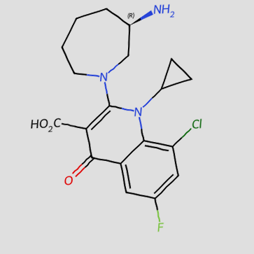 N[C@@H]1CCCCN(c2c(C(=O)O)c(=O)c3cc(F)cc(Cl)c3n2C2CC2)C1